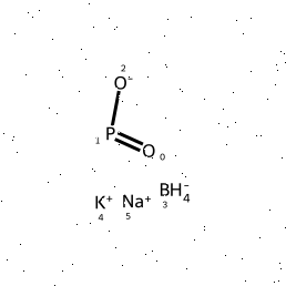 O=P[O-].[BH4-].[K+].[Na+]